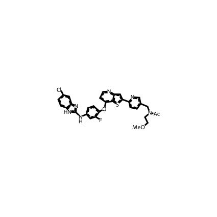 COCCN(Cc1ccc(-c2cc3nccc(Oc4ccc(Nc5nc6cc(Cl)ccc6[nH]5)cc4F)c3s2)nc1)C(C)=O